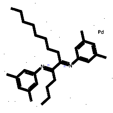 CCCCCCCCC(=N\c1cc(C)cc(C)c1)/C(CCCC)=N/c1cc(C)cc(C)c1.[Pd]